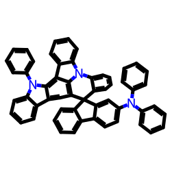 c1ccc(N(c2ccccc2)c2ccc3c(c2)C2(c4ccccc4-3)c3ccccc3-n3c4ccccc4c4c3c2cc2c3ccccc3n(-c3ccccc3)c24)cc1